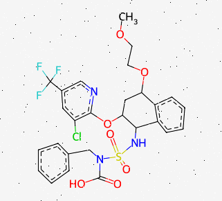 COCCOC1CC(Oc2ncc(C(F)(F)F)cc2Cl)C(NS(=O)(=O)N(Cc2ccccc2)C(=O)O)c2ccccc21